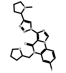 CN1CCCC1c1cn(-c2ncn3c2c(=O)n(CC2CCCO2)c2cc(F)ccc23)nn1